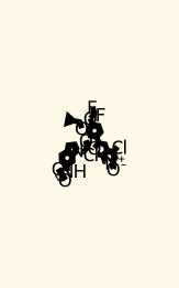 CS(=O)(=O)Nc1ccc2ccn(CC(=O)OC(Cc3c(Cl)c[n+]([O-])cc3Cl)c3ccc(OC(F)F)c(OCC4CC4)c3)c2c1